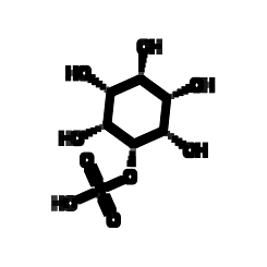 O=S(=O)(O)O[C@@H]1[C@H](O)[C@H](O)[C@H](O)[C@H](O)[C@@H]1O